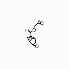 O=C(OCC1CO1)C1CC2OC1C1OC21